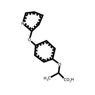 CC(Oc1ccc(Oc2ccccn2)cc1)C(=O)O